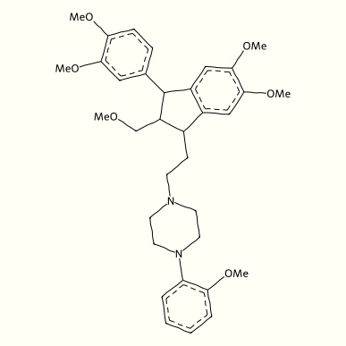 COCC1C(CCN2CCN(c3ccccc3OC)CC2)c2cc(OC)c(OC)cc2C1c1ccc(OC)c(OC)c1